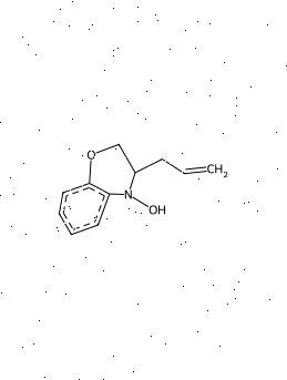 C=CCC1COc2ccccc2N1O